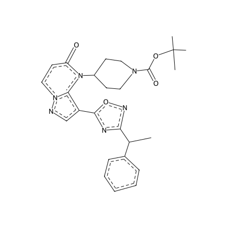 CC(c1ccccc1)c1noc(-c2cnn3ccc(=O)n(C4CCN(C(=O)OC(C)(C)C)CC4)c23)n1